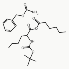 CCCCCC(=O)OC(=O)C(CCCC)NC(=O)OC(C)(C)C.NC(=O)OCc1ccccc1